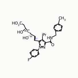 Cc1ccc(CNC(=O)c2nn(-c3ccc(F)cc3)c(/C=C/[C@H](O)C[C@@H](O)CC(=O)O)c2C(C)C)cc1